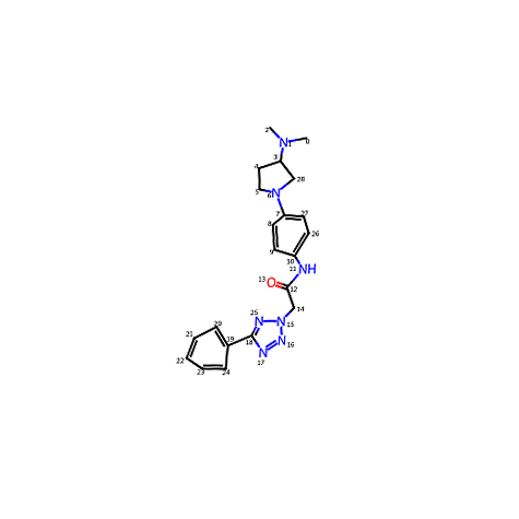 CN(C)C1CCN(c2ccc(NC(=O)Cn3nnc(-c4ccccc4)n3)cc2)C1